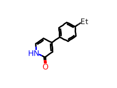 CCc1ccc(-c2cc[nH]c(=O)c2)cc1